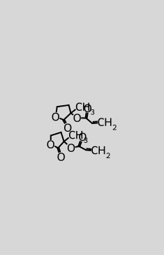 C=CC(=O)OC1(C)CCOC1=O.C=CC(=O)OC1(C)CCOC1=O